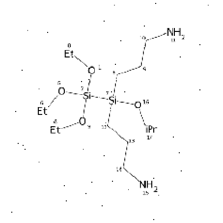 CCO[Si](OCC)(OCC)[Si](CCCN)(CCCN)OC(C)C